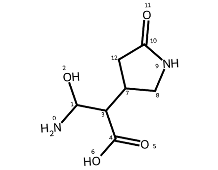 NC(O)C(C(=O)O)C1CNC(=O)C1